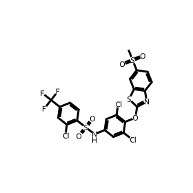 CS(=O)(=O)c1ccc2nc(Oc3c(Cl)cc(NS(=O)(=O)c4ccc(C(F)(F)F)cc4Cl)cc3Cl)sc2c1